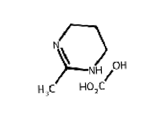 CC1=NCCCN1.O=C(O)O